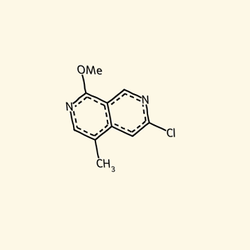 COc1ncc(C)c2cc(Cl)ncc12